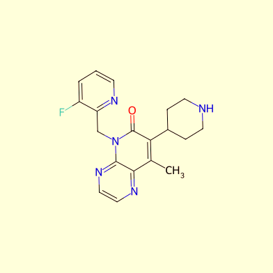 Cc1c(C2CCNCC2)c(=O)n(Cc2ncccc2F)c2nccnc12